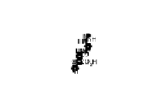 O=C(O)CC(c1cccnc1)[S+]([O-])c1ccc(NC(=O)c2cccc(NC3=NCCN3)c2)cc1